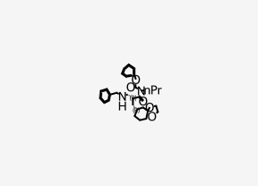 CCCN(C(=O)Oc1ccccc1)C(=O)[C@@H](CNCc1ccccc1)C[C@H]1CCCC2(C1)OCCO2